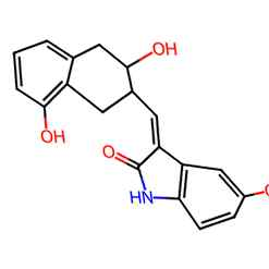 O=C1Nc2ccc(O)cc2C1=CC1Cc2c(O)cccc2CC1O